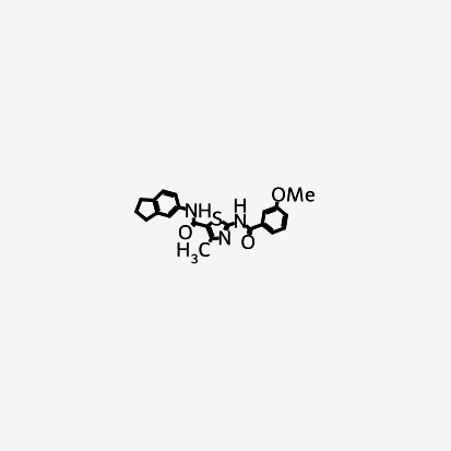 COc1cccc(C(=O)Nc2nc(C)c(C(=O)Nc3ccc4c(c3)CCC4)s2)c1